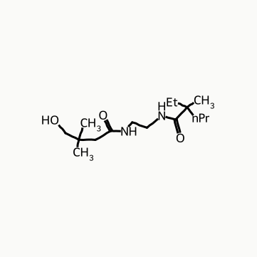 CCCC(C)(CC)C(=O)NCCNC(=O)CC(C)(C)CO